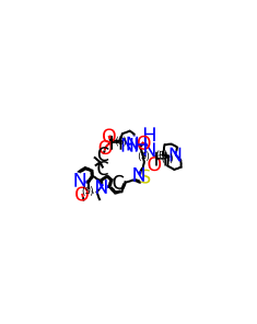 CCn1c(-c2cccnc2[C@H](C)OC)c2c3cc(ccc31)-c1csc(n1)C[C@H](NC(=O)[C@@H]1CCCN3CCCC[C@H]13)C(=O)N1CCC[C@H](N1)C(=O)OCC(C)(C)C2